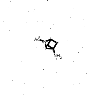 CC(=O)N1CC2(N)CC1C2